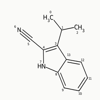 CC(C)c1c(C#N)[nH]c2ccccc12